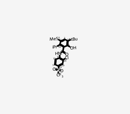 CSc1cc(C(C)(C)C)c(O)c(C(=O)Nc2ccc(S(=O)(=O)C(F)(F)F)cc2Cl)c1C(C)C